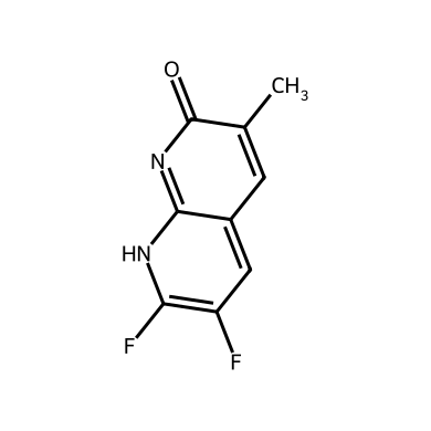 Cc1cc2cc(F)c(F)[nH]c-2nc1=O